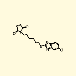 O=C1CSC(=O)N1CCCCCCSc1nc2cc(Cl)ccc2s1